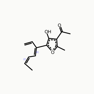 C=C/C(=C\C=C/C)c1oc(C)c(C(C)=O)c1O